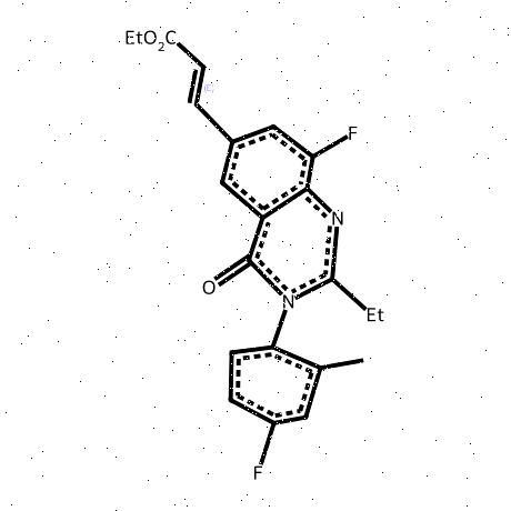 CCOC(=O)/C=C/c1cc(F)c2nc(CC)n(-c3ccc(F)cc3C)c(=O)c2c1